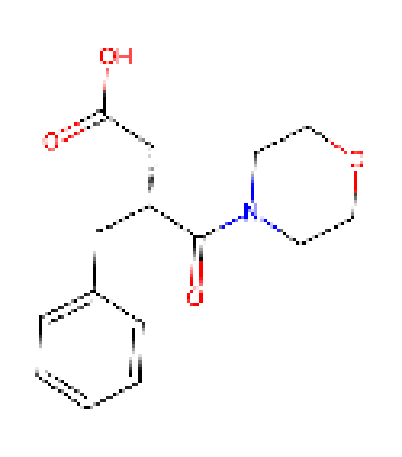 O=C(O)C[C@@H](Cc1ccccc1)C(=O)N1CCOCC1